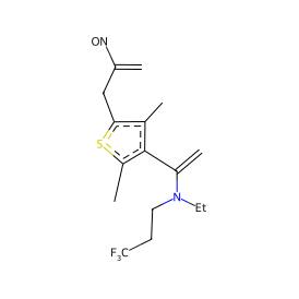 C=C(Cc1sc(C)c(C(=C)N(CC)CCC(F)(F)F)c1C)N=O